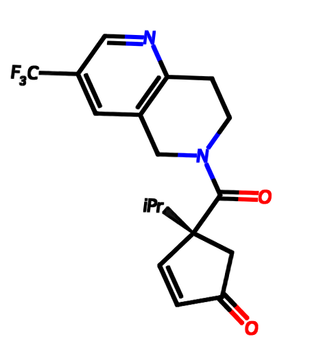 CC(C)[C@]1(C(=O)N2CCc3ncc(C(F)(F)F)cc3C2)C=CC(=O)C1